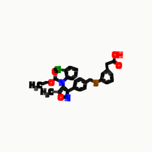 CCOC(=O)N(c1ccccc1Cl)c1c(-c2ccc(CSc3cccc(CC(=O)O)c3)cc2)noc1C